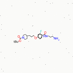 CC(C)(C)OC(=O)N1CCC(CCCOc2ccc(C(=O)NCCCN)c(F)c2)CC1